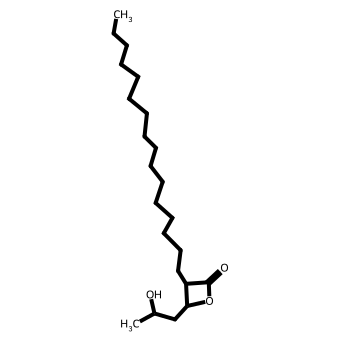 CCCCCCCCCCCCCCCCC1C(=O)OC1CC(C)O